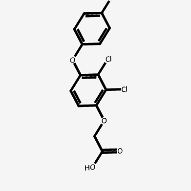 O=C(O)COc1ccc(Oc2ccc(O)cc2)c(Cl)c1Cl